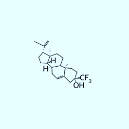 C=C(C)[C@H]1CC[C@H]2[C@@H]3CC=C4C[C@](O)(C(F)(F)F)CC[C@]4(C)C3CC[C@]12C